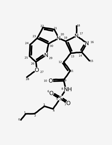 CCCCCS(=O)(=O)NC(=O)/C=C/c1c(C)nn(C)c1-n1ccc2ccc(OC)nc21